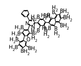 Bc1c(B)c(-c2c(B)c(B)c3c(B)c(B)c(B)c(B)c3c2B)c(B)c(B)c1-c1nc(-c2ccccc2)nc(-c2c(B)c(B)c3c(oc4c(B)c(B)c(B)c(B)c43)c2B)n1